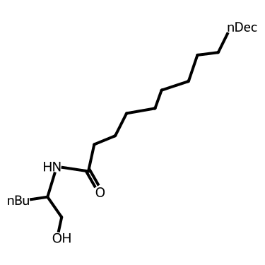 CCCCCCCCCCCCCCCCCCC(=O)NC(CO)CCCC